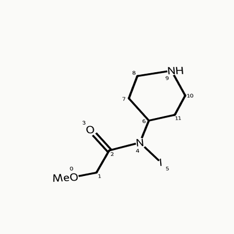 COCC(=O)N(I)C1CCNCC1